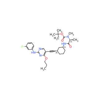 CCCOc1nc(Nc2cccc(F)c2)ncc1C#C[C@@H]1CCC[C@H](NC(=O)[C@H](C)N(C)C(=O)OC(C)(C)C)C1